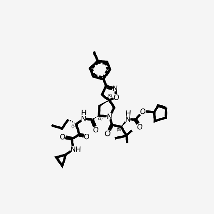 CCC[C@H](NC(=O)[C@@H]1C[C@]2(CC(c3ccc(C)cc3)=NO2)CN1C(=O)[C@@H](NC(=O)OC1CCCC1)C(C)(C)C)C(=O)C(=O)NC1CC1